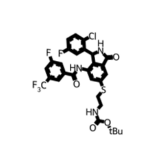 CC(C)(C)OC(=O)NCCSc1cc(NC(=O)c2cc(F)cc(C(F)(F)F)c2)c2c(c1)C(=O)NC2c1cc(F)ccc1Cl